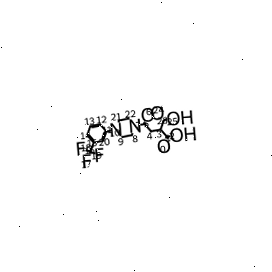 O=C(O)C(CC(=O)N1CCN(c2cccc(C(F)(F)F)c2)CC1)C(=O)O